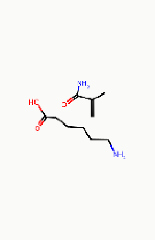 C=C(C)C(N)=O.NCCCCCC(=O)O